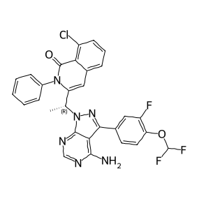 C[C@H](c1cc2cccc(Cl)c2c(=O)n1-c1ccccc1)n1nc(-c2ccc(OC(F)F)c(F)c2)c2c(N)ncnc21